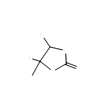 CC1(F)SC(=S)OC1F